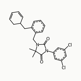 CC1(C)C(=O)N(c2cc(Cl)cc(Cl)c2)C(=O)N1Cc1ccccc1CC1C=CC=CC1